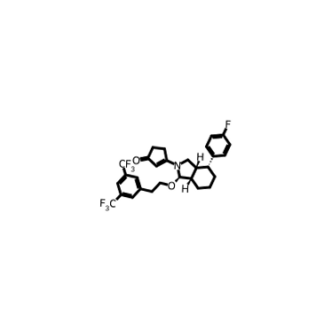 O=C1C=C(N2C[C@H]3[C@H](CCC[C@H]3c3ccc(F)cc3)[C@H]2OCCc2cc(C(F)(F)F)cc(C(F)(F)F)c2)CC1